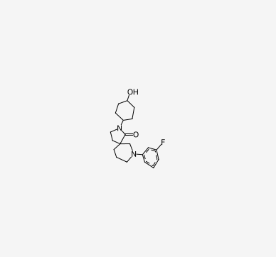 O=C1N(C2CCC(O)CC2)CCC12CCCN(c1cccc(F)c1)C2